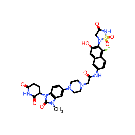 Cn1c(=O)n(C2CCC(=O)NC2=O)c2ccc(N3CCN(CC(=O)Nc4ccc5c(F)c(N6CC(=O)NS6(=O)=O)c(O)cc5c4)CC3)cc21